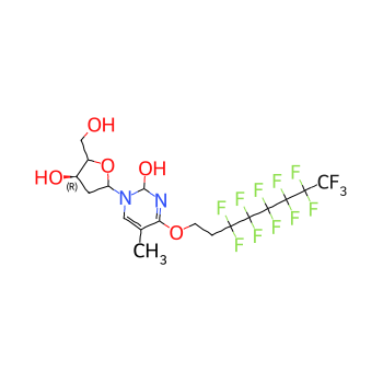 CC1=CN(C2C[C@@H](O)C(CO)O2)C(O)N=C1OCCC(F)(F)C(F)(F)C(F)(F)C(F)(F)C(F)(F)C(F)(F)F